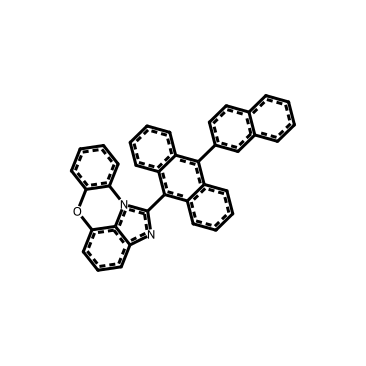 c1ccc2c(c1)Oc1cccc3nc(-c4c5ccccc5c(-c5ccc6ccccc6c5)c5ccccc45)n-2c13